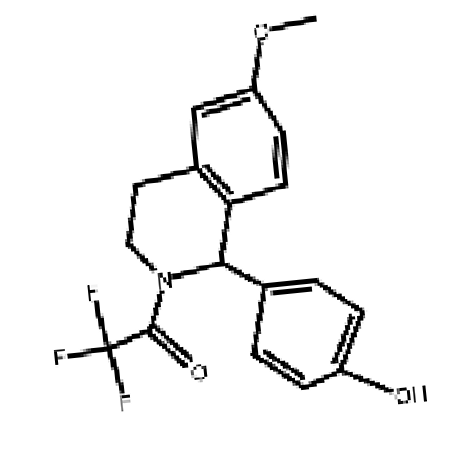 COc1ccc2c(c1)CCN(C(=O)C(F)(F)F)C2c1ccc(O)cc1